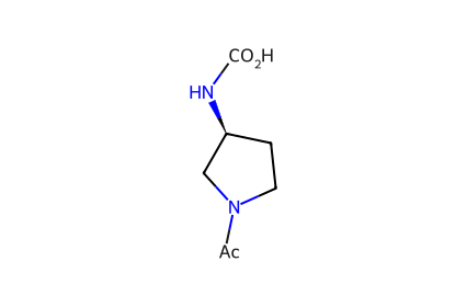 CC(=O)N1CC[C@H](NC(=O)O)C1